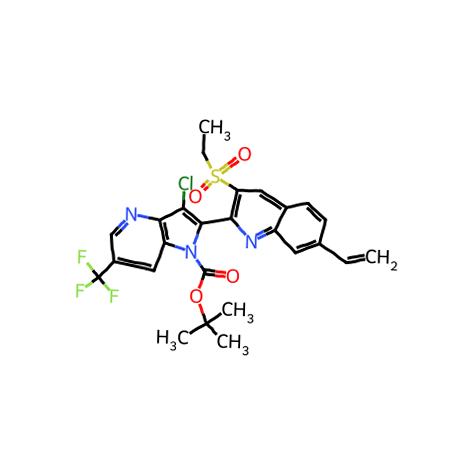 C=Cc1ccc2cc(S(=O)(=O)CC)c(-c3c(Cl)c4ncc(C(F)(F)F)cc4n3C(=O)OC(C)(C)C)nc2c1